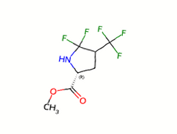 COC(=O)[C@H]1CC(C(F)(F)F)C(F)(F)N1